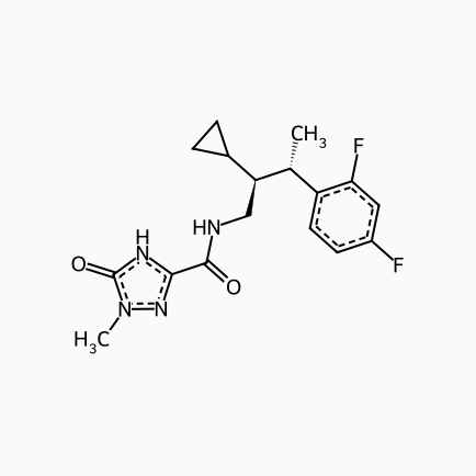 C[C@H](c1ccc(F)cc1F)[C@@H](CNC(=O)c1nn(C)c(=O)[nH]1)C1CC1